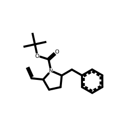 C=CC1CCC(Cc2ccccc2)N1C(=O)OC(C)(C)C